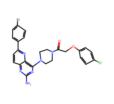 CCc1ccc(-c2ccc3nc(N)nc(N4CCN(C(=O)COc5ccc(Cl)cc5)CC4)c3n2)cc1